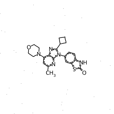 Cc1cc(N2CCOCC2)c2nc(C3CCC3)n(-c3ccc4[nH]c(=O)sc4c3)c2n1